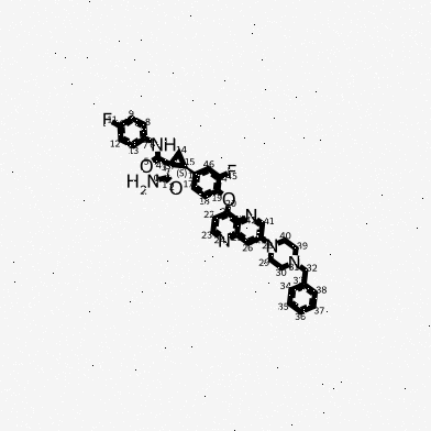 NC(=O)[C@]1(C(=O)Nc2ccc(F)cc2)C[C@H]1c1ccc(Oc2ccnc3cc(N4CCN(Cc5ccccc5)CC4)cnc23)c(F)c1